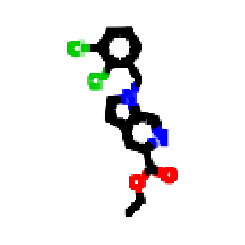 CCOC(=O)c1cc2ccn(Cc3cccc(Cl)c3Cl)c2cn1